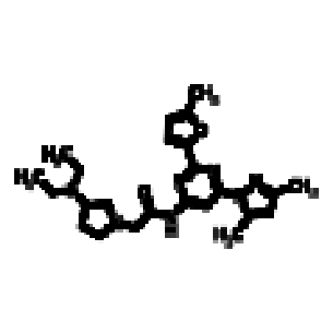 CCN(CC)C1CCN(CC(=O)Nc2cc(-n3nc(C)cc3C)nc(-c3ccc(C)o3)n2)C1